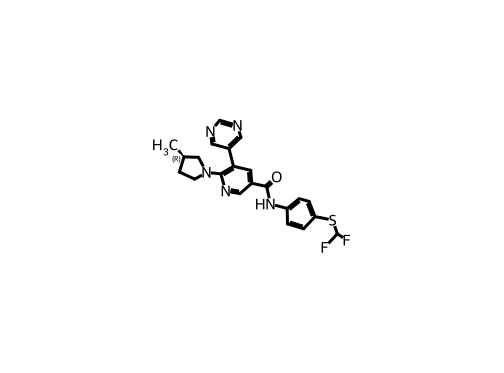 C[C@@H]1CCN(c2ncc(C(=O)Nc3ccc(SC(F)F)cc3)cc2-c2cncnc2)C1